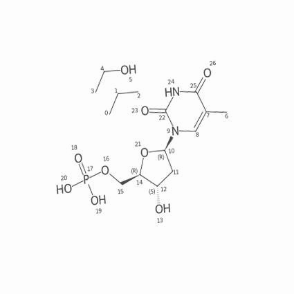 CCC.CCO.Cc1cn([C@H]2C[C@H](O)[C@@H](COP(=O)(O)O)O2)c(=O)[nH]c1=O